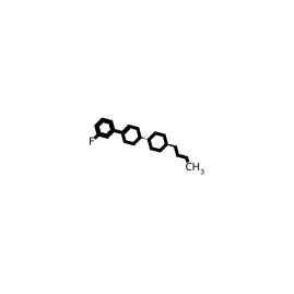 CCCC[C@H]1CC[C@H](C2CC=C(c3cccc(F)c3)CC2)CC1